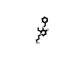 CCc1c(OCc2ccccc2)c(=O)ccn1CCCO